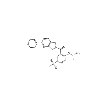 C[C@H](Oc1ccc(S(C)(=O)=O)cc1C(=O)N1Cc2ccc(C3=CCOCC3)nc2C1)C(F)(F)F